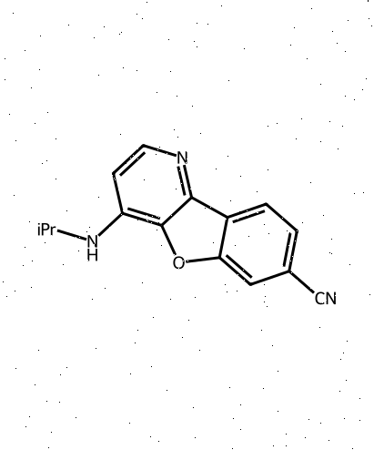 CC(C)Nc1ccnc2c1oc1cc(C#N)ccc12